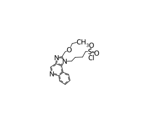 CCOCc1nc2cnc3ccccc3c2n1CCCCS(=O)(=O)Cl